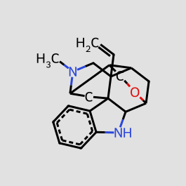 C=CC12CN(C)C3CC14c1ccccc1NC4C1CC2C3CO1